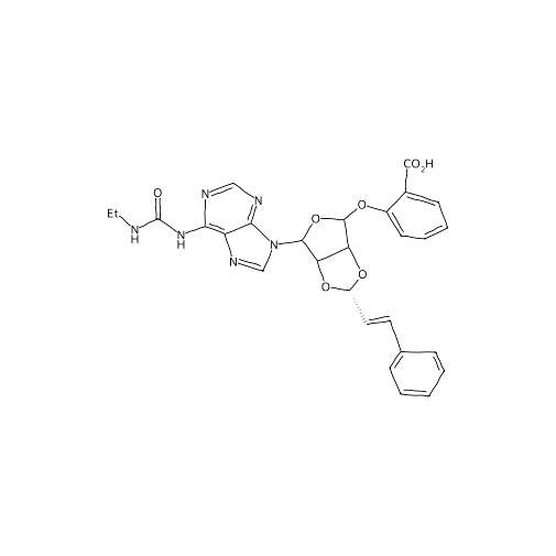 CCNC(=O)Nc1ncnc2c1ncn2C1OC(Oc2ccccc2C(=O)O)C2O[C@H](/C=C/c3ccccc3)OC21